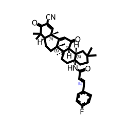 CC1(C)CC[C@]2(NC(=O)/C=C/c3ccc(F)cc3)CC[C@]3(C)[C@H](C(=O)C=C4[C@@]5(C)C=C(C#N)C(=O)C(C)(C)[C@@H]5CC[C@]43C)[C@@H]2C1